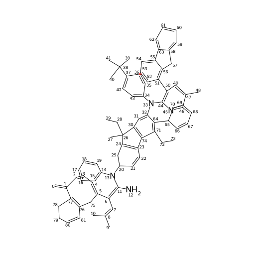 C=C1\C=C/C=C(/C(C=C(C)C)=C(/N)N(c2ccccc2)C2C=CC3=C(C2)C(C)(CC)c2cc(N(c4ccc(C(C)(C)C)cc4)c4ncc(C)cc4-c4cccc5c4Cc4ccccc4-5)c(C4C=CC=CC4)c(CC)c23)CC2=C1CCC=C2